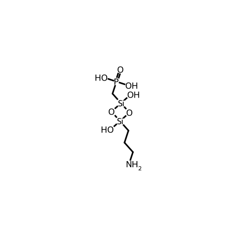 NCCC[Si]1(O)O[Si](O)(CP(=O)(O)O)O1